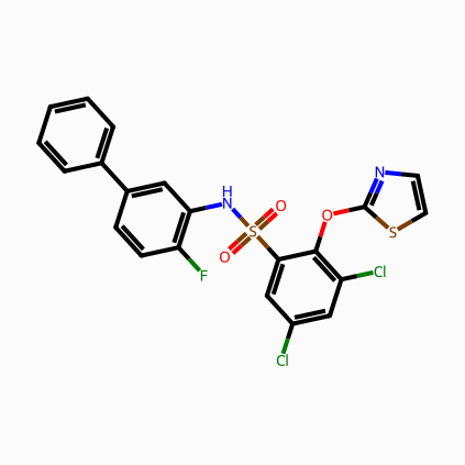 O=S(=O)(Nc1cc(-c2ccccc2)ccc1F)c1cc(Cl)cc(Cl)c1Oc1nccs1